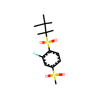 CC(C)(C)C(C)(C)S(=O)(=O)c1ccc(S(C)(=O)=O)cc1F